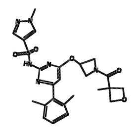 Cc1cccc(C)c1-c1cc(OC2CN(C(=O)C3(C)COC3)C2)nc(NS(=O)(=O)c2cnn(C)c2)n1